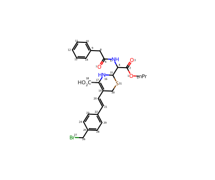 CCCOC(=O)C(NC(=O)Cc1ccccc1)C1NC(C(=O)O)=C(/C=C/c2ccc(CBr)cc2)CS1